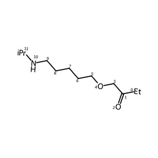 CCC(=O)COCCCCCNC(C)C